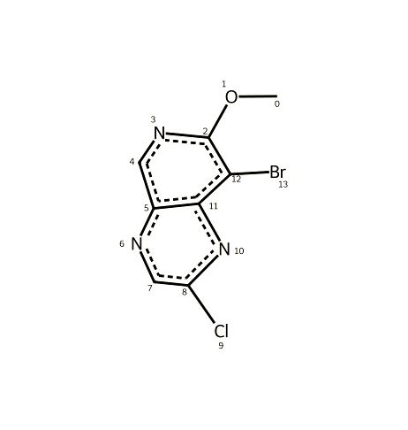 COc1ncc2ncc(Cl)nc2c1Br